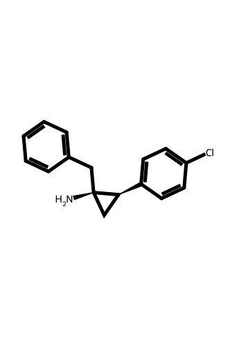 N[C@]1(Cc2ccccc2)C[C@@H]1c1ccc(Cl)cc1